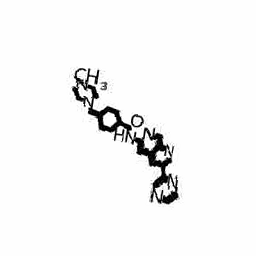 CN1CCN(CC2CCC(C(=O)Nc3cc4cc(-c5cnccn5)cnc4cn3)CC2)CC1